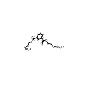 O=C(OCCOS(=O)(=O)O)c1cccc(C(=O)OCCOS(=O)(=O)O)c1